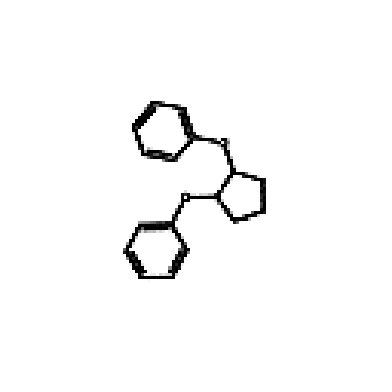 c1ccc(OC2CCCC2Oc2ccccc2)cc1